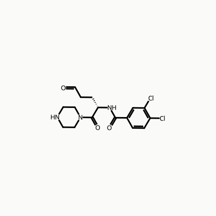 O=CCC[C@H](NC(=O)c1ccc(Cl)c(Cl)c1)C(=O)N1CCNCC1